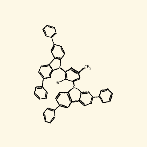 N#Cc1c(-n2c3ccc(-c4ccccc4)cc3c3ccc(-c4ccccc4)cc32)cc(C(F)(F)F)cc1-n1c2ccc(-c3ccccc3)cc2c2ccc(-c3ccccc3)cc21